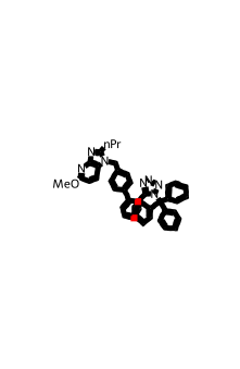 CCCc1nc2nc(OC)ccc2n1Cc1ccc(-c2ccccc2-c2nnnn2C(c2ccccc2)(c2ccccc2)c2ccccc2)cc1